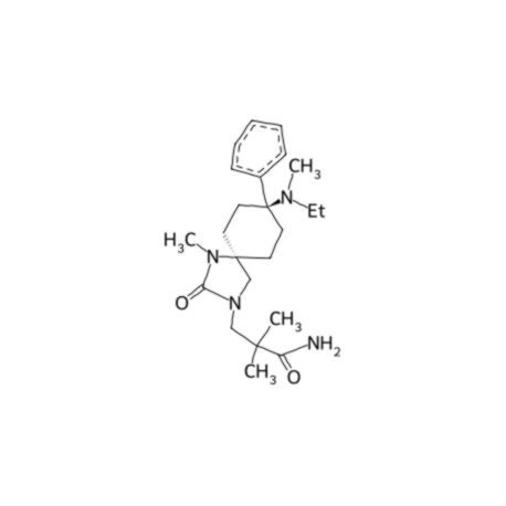 CCN(C)[C@]1(c2ccccc2)CC[C@]2(CC1)CN(CC(C)(C)C(N)=O)C(=O)N2C